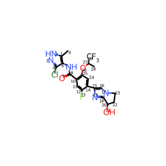 Cc1[nH]nc(Cl)c1NC(=O)c1cc(F)c(-c2cn3c(n2)C(O)CC3)cc1OC(C)C(F)(F)F